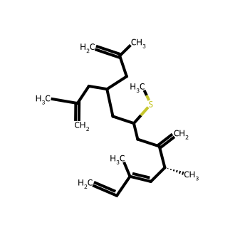 C=C/C(C)=C/[C@@H](C)C(=C)CC(CC(CC(=C)C)CC(=C)C)SC